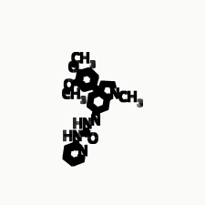 COc1ccc(C23CCC(=NNC(=O)Nc4ccccn4)CC2N(C)CC3)cc1OC